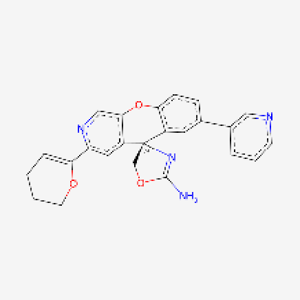 NC1=N[C@@]2(CO1)c1cc(-c3cccnc3)ccc1Oc1cnc(C3=CCCCO3)cc12